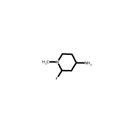 CN1CCC(N)CC1F